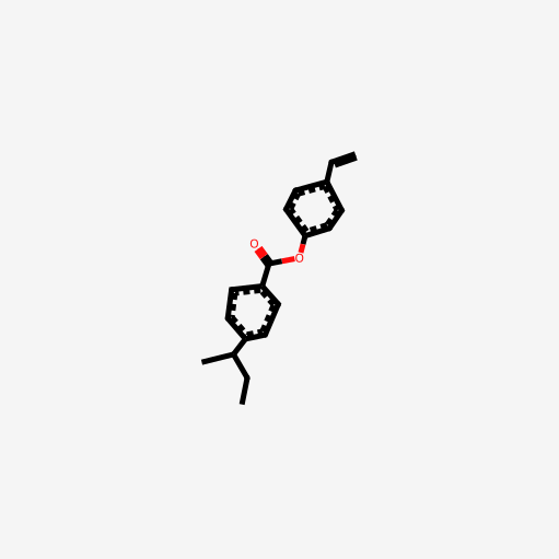 C=Cc1ccc(OC(=O)c2ccc(C(C)CC)cc2)cc1